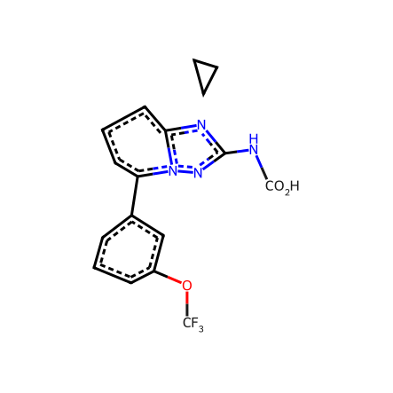 C1CC1.O=C(O)Nc1nc2cccc(-c3cccc(OC(F)(F)F)c3)n2n1